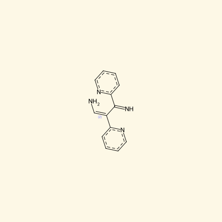 N=C(/C(=C\N)c1ccccn1)c1ccccn1